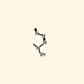 C=N/N=N\N(C)C(C)C